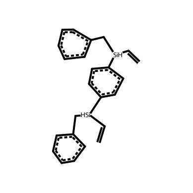 C=C[SiH](Cc1ccccc1)c1ccc([SiH](C=C)Cc2ccccc2)cc1